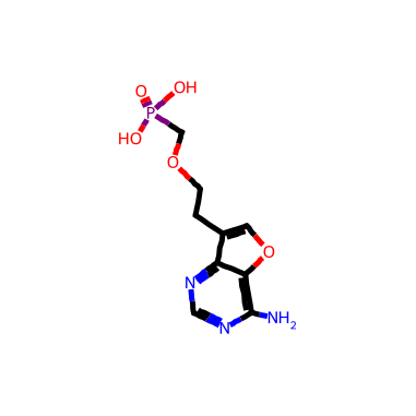 Nc1ncnc2c(CCOCP(=O)(O)O)coc12